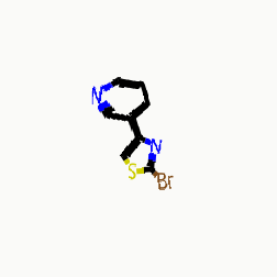 Brc1nc(-c2cccnc2)cs1